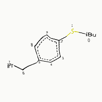 CCC(C)Sc1ccc(CC(C)C)cc1